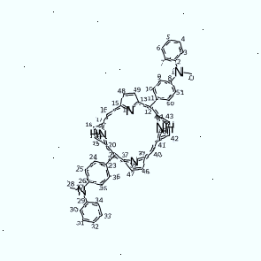 CN(c1ccccc1)c1ccc(-c2c3nc(cc4ccc([nH]4)c(-c4ccc(N(C)c5ccccc5)cc4)c4nc(cc5ccc2[nH]5)C=C4)C=C3)cc1